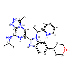 Cc1nnc2c(NC(C)C)nc(-c3nc4ccc(C5CCOCC5)cc4n3[C@@H](C)c3ccccn3)cn12